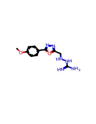 COc1ccc(-c2nnc(CNNC(=N)N)o2)cc1